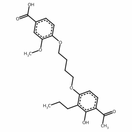 CCCc1c(OCCCCOc2ccc(C(=O)O)cc2OC)ccc(C(C)=O)c1O